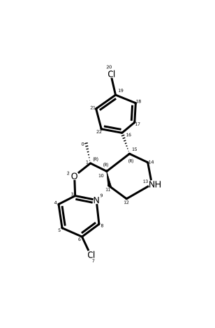 C[C@@H](Oc1ccc(Cl)cn1)[C@@H]1CCNC[C@H]1c1ccc(Cl)cc1